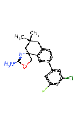 CC1(C)Cc2ccc(-c3cc(F)cc(Cl)c3)cc2C2(COC(N)=N2)C1